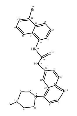 CN1CCN(c2ccnc3ccc(NC(=O)Nc4cccc5c(Br)cccc45)cc23)CC1